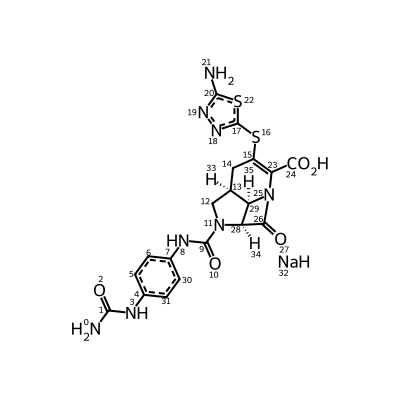 NC(=O)Nc1ccc(NC(=O)N2C[C@H]3CC(Sc4nnc(N)s4)=C(C(=O)O)N4C(=O)[C@@H]2[C@@H]34)cc1.[NaH]